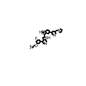 CN(C)CCOc1cc(F)cc(-c2cncc3[nH]c(-c4n[nH]c5ccc(-c6cncc(CN7CCCC7)c6)cc45)cc23)c1